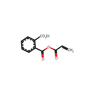 C=CC(=O)OC(=O)c1ccccc1C(=O)OCC